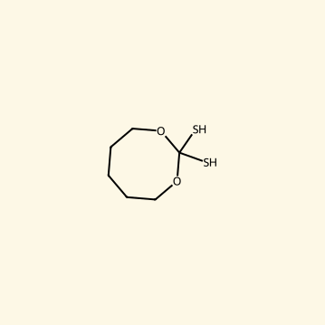 SC1(S)OCCCCCO1